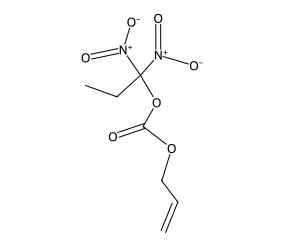 C=CCOC(=O)OC(CC)([N+](=O)[O-])[N+](=O)[O-]